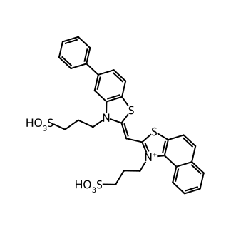 O=S(=O)(O)CCCN1C(=Cc2sc3ccc4ccccc4c3[n+]2CCCS(=O)(=O)O)Sc2ccc(-c3ccccc3)cc21